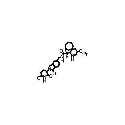 CC(C)OC1CNC(C(F)(F)C(=O)NCc2ccc3c(c2)CN(C2CCC(=O)NC2=O)C3=O)C2(CCCCCC2)C1